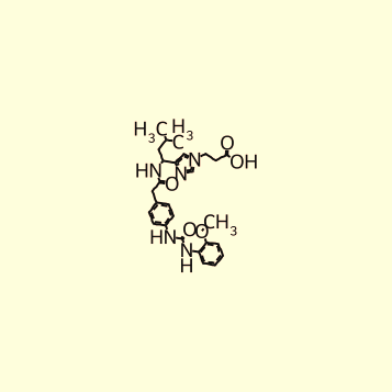 COc1ccccc1NC(=O)Nc1ccc(CC(=O)NC(CC(C)C)c2cn(CCC(=O)O)cn2)cc1